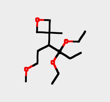 CCO[Si](CC)(OCC)C(CCOC)C1(C)COC1